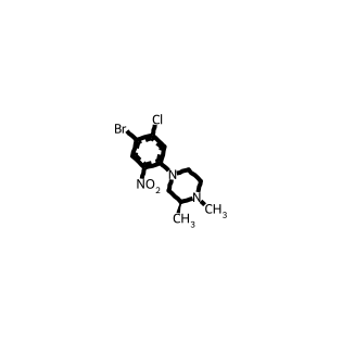 C[C@H]1CN(c2cc(Cl)c(Br)cc2[N+](=O)[O-])CCN1C